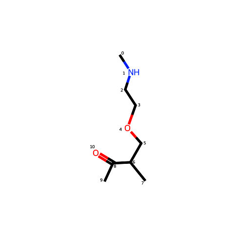 CNCCOCC(C)C(C)=O